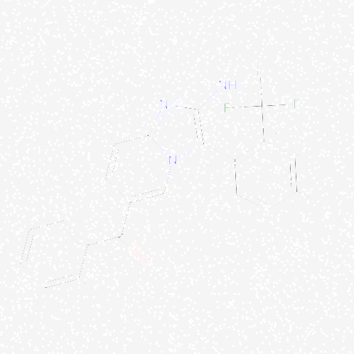 Nc1nc2ccc(C(=O)c3ccccc3)cn2c1-c1ccc(F)cc1C(F)(F)F